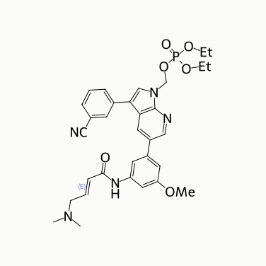 CCOP(=O)(OCC)OCn1cc(-c2cccc(C#N)c2)c2cc(-c3cc(NC(=O)/C=C/CN(C)C)cc(OC)c3)cnc21